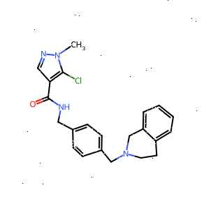 Cn1ncc(C(=O)NCc2ccc(CN3CCc4ccccc4C3)cc2)c1Cl